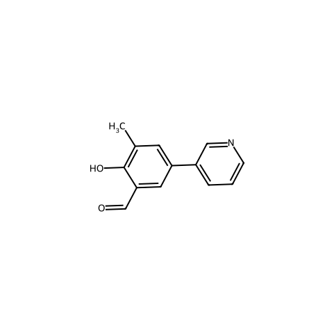 Cc1cc(-c2cccnc2)cc(C=O)c1O